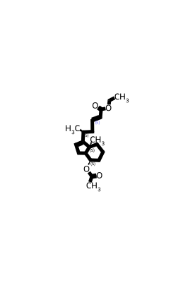 CCOC(=O)/C=C/C[C@H](C)C1=CCC2[C@@H](OC(C)=O)CCC[C@]12C